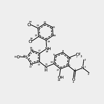 CN(C)C(=O)c1c(C(F)(F)F)ccc(Nc2n[s+]([O-])nc2Nc2cccc(Cl)c2Cl)c1O